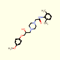 COc1ccc(OCC(O)CN2CCN(CC(=O)Nc3c(C)cccc3C)CC2)cc1